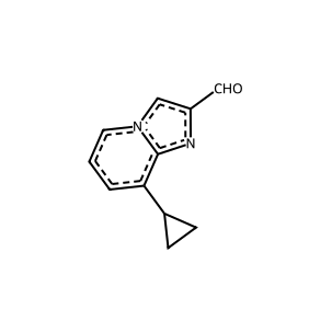 O=Cc1cn2cccc(C3CC3)c2n1